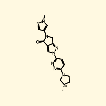 C[C@H]1CCN(c2ccc(-n3cc4c(n3)CN(c3cnn(C)c3)C4=O)nn2)C1